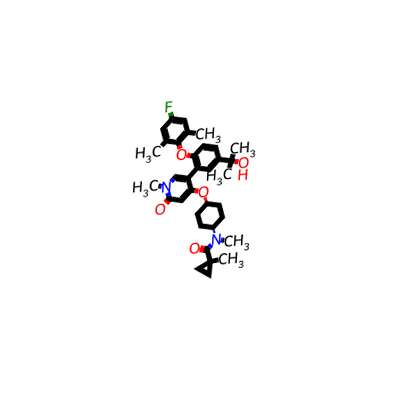 Cc1cc(F)cc(C)c1Oc1ccc(C(C)(C)O)cc1-c1cn(C)c(=O)cc1O[C@H]1CC[C@H](N(C)C(=O)C2(C)CC2)CC1